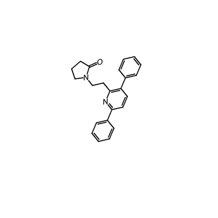 O=C1CCCN1CCc1nc(-c2ccccc2)ccc1-c1ccccc1